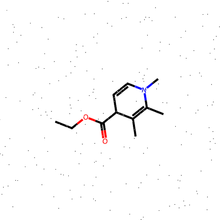 CCOC(=O)C1C=CN(C)C(C)=C1C